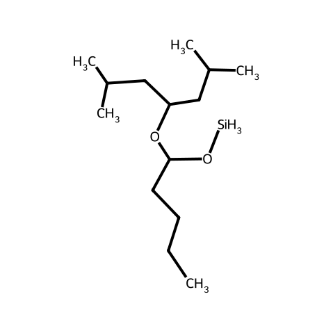 CCCCC(O[SiH3])OC(CC(C)C)CC(C)C